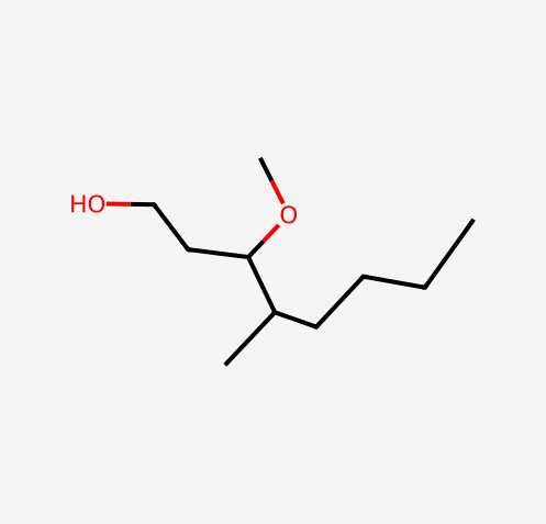 CCCCC(C)C(CCO)OC